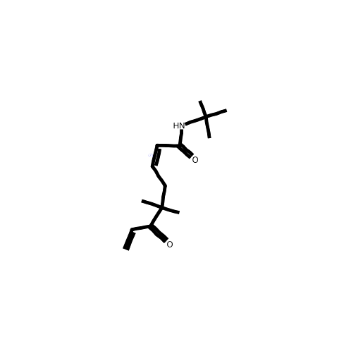 C=CC(=O)C(C)(C)C/C=C\C(=O)NC(C)(C)C